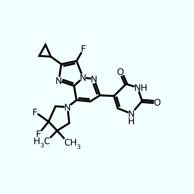 CC1(C)CN(c2cc(-c3c[nH]c(=O)[nH]c3=O)nn3c(F)c(C4CC4)nc23)CC1(F)F